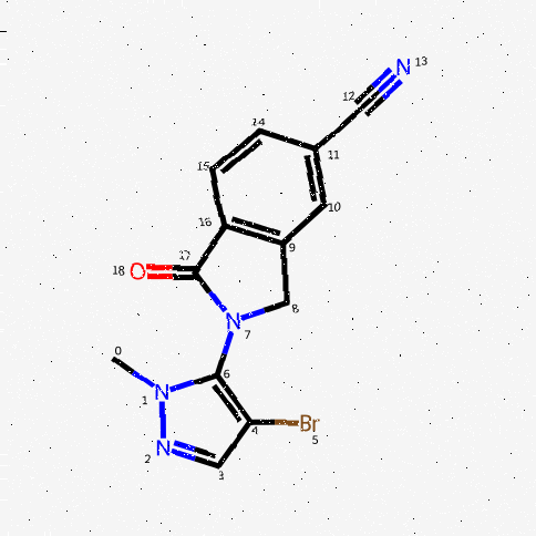 Cn1ncc(Br)c1N1Cc2cc(C#N)ccc2C1=O